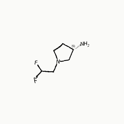 N[C@H]1CCN(CC(F)F)C1